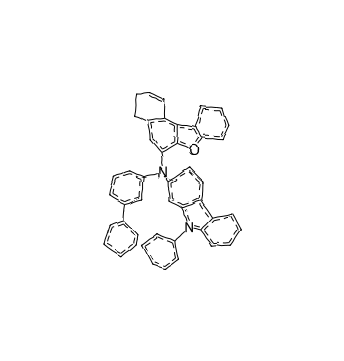 C1=Cc2c(cc(N(c3cccc(-c4ccccc4)c3)c3ccc4c5ccccc5n(-c5ccccc5)c4c3)c3oc4ccccc4c23)CC1